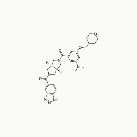 CN(C)c1cc(C(=O)N2C[C@@H]3CN(C(=O)c4ccc5[nH]nnc5c4)C[C@H]3C2)cc(OCC2CCOCC2)n1